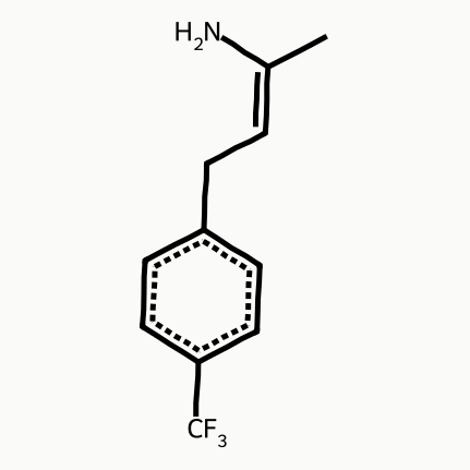 CC(N)=CCc1ccc(C(F)(F)F)cc1